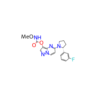 CONC(=O)Oc1cnn2ccc(N3CCC[C@@H]3c3cccc(F)c3)nc12